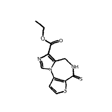 CCOC(=O)c1ncn2c1CNC(=S)c1sccc1-2